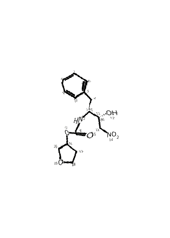 O=C(N[C@@H](Cc1ccccc1)[C@H](O)C[N+](=O)[O-])OC1CCOC1